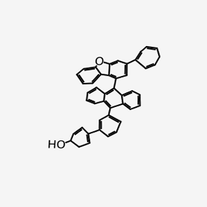 OC1C=CC(c2cccc(-c3c4ccccc4c(-c4cc(C5=CC=CCC=C5)cc5oc6ccccc6c45)c4ccccc34)c2)=CC1